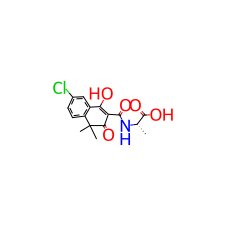 C[C@H](NC(=O)C1=C(O)c2cc(Cl)ccc2C(C)(C)C1=O)C(=O)O